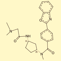 CN(C)CC(=O)N[C@H]1CC[C@@H](N(C)C(=O)c2ccc(-c3nc4ccccc4o3)cc2)C1